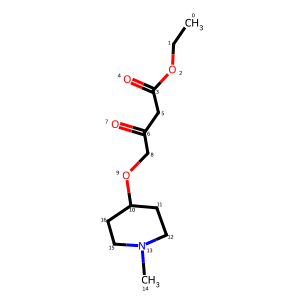 CCOC(=O)CC(=O)COC1CCN(C)CC1